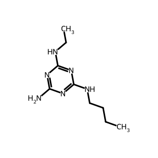 CCCCNc1nc(N)nc(NCC)n1